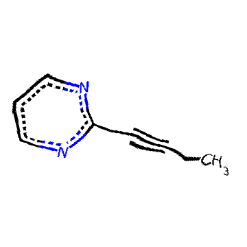 CC#Cc1ncccn1